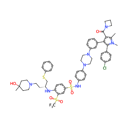 Cc1c(C(=O)N2CCC2)c(-c2cccc(N3CCN(c4ccc(NS(=O)(=O)c5ccc(N[C@H](CCN6CCC(C)(O)CC6)CSc6ccccc6)c(S(=O)(=O)C(F)(F)F)c5)cc4)CC3)c2)c(-c2ccc(Cl)cc2)n1C